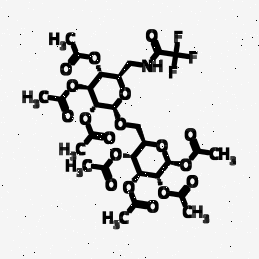 CC(=O)O[C@@H]1O[C@H](CO[C@@H]2O[C@H](CNC(=O)C(F)(F)F)[C@@H](OC(C)=O)[C@H](OC(C)=O)[C@H]2OC(C)=O)[C@@H](OC(C)=O)[C@H](OC(C)=O)[C@H]1OC(C)=O